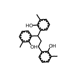 Cc1cccc(CCC(c2cccc(C)c2O)c2cccc(C)c2O)c1O